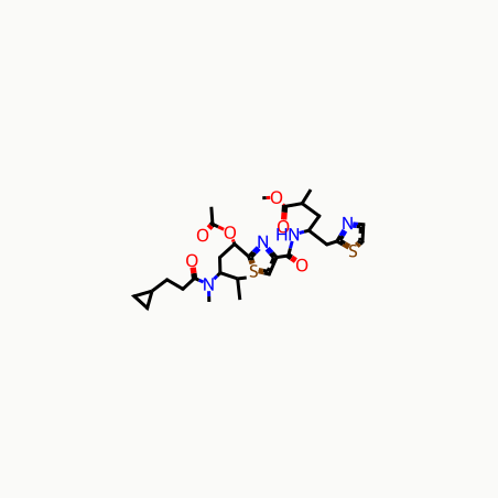 COC(=O)C(C)CC(Cc1nccs1)NC(=O)c1csc(C(CC(C(C)C)N(C)C(=O)CCC2CC2)OC(C)=O)n1